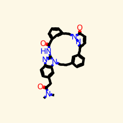 CN(C)C(=O)Cc1ccc2nc3n(c2c1)CCc1cccc(c1)-c1ccc(=O)n(n1)Cc1cccc(c1)C(=O)N3